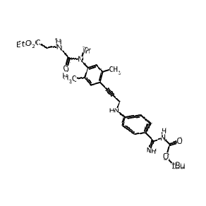 CCOC(=O)CNC(=O)N(c1cc(C)c(C#CCNc2ccc(C(=N)NC(=O)OC(C)(C)C)cc2)cc1C)C(C)C